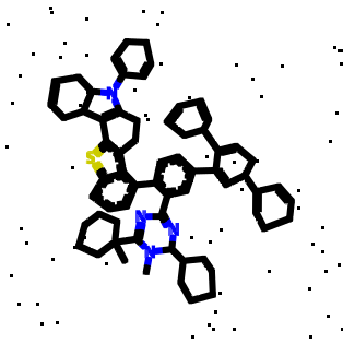 CN1C(C2(C)CCCCC2)=NC(c2cc(C3=CC(C4=CCCC=C4)CC=C3C3C=CC=CC3)ccc2-c2cccc3sc4c(c23)CCC2=C4C3CC=CCC3N2C2=CCCC=C2)=NC1C1CCCCC1